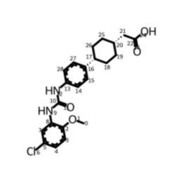 COc1ccc(Cl)cc1NC(=O)Nc1ccc([C@H]2CC[C@@H](CC(=O)O)CC2)cc1